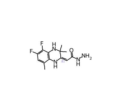 Cc1cc(F)c(F)c2c1N/C(=C/C(=O)NN)C(C)(C)N2